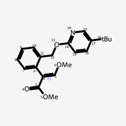 CO/C=C(/C(=O)OC)c1ccccc1COc1ccc(C(C)(C)C)cn1